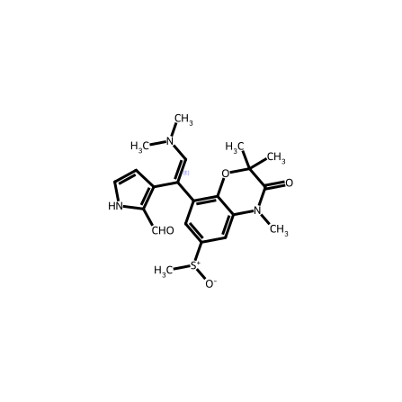 CN(C)/C=C(\c1cc[nH]c1C=O)c1cc([S+](C)[O-])cc2c1OC(C)(C)C(=O)N2C